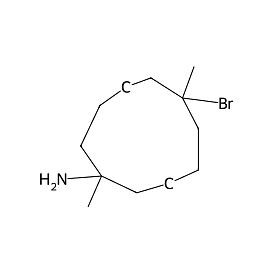 CC1(N)CCCCC(C)(Br)CCCC1